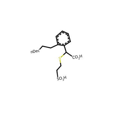 CCCCCCCCCCCCc1ccccc1C(SCCS(=O)(=O)O)C(=O)O